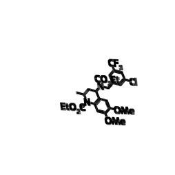 CCOC(=O)N(Cc1cc(Cl)cc(C(F)(F)F)c1)C1CC(C)N(C(=O)OCC)c2cc(OC)c(OC)cc21